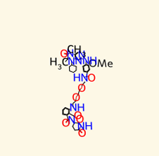 COc1cc(C(=O)NCCOCCOCCNc2cccc3c2C(=O)N(C2CCC(=O)NC2=O)C3=O)ccc1Nc1ncc2c(n1)N(C1CCCCC1)C(C)C(=O)N2C